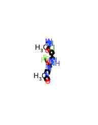 C[C@@H](Cn1cnnn1)Oc1cc(-c2cnc(Nc3cn(C4CCN(C5(C)CCOCC5)CC4)nc3OCC(F)(F)F)nc2)ccc1Cl